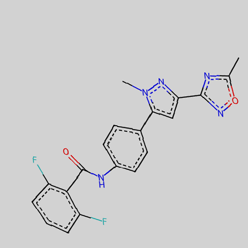 Cc1nc(-c2cc(-c3ccc(NC(=O)c4c(F)cccc4F)cc3)n(C)n2)no1